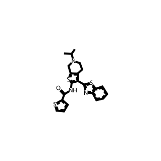 CC(C)N1CCc2c(sc(NC(=O)c3cccs3)c2-c2nc3ccccc3s2)C1